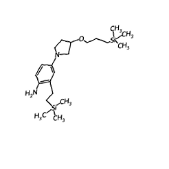 C[Si](C)(C)CCCOC1CCN(c2ccc(N)c(CC[Si](C)(C)C)c2)C1